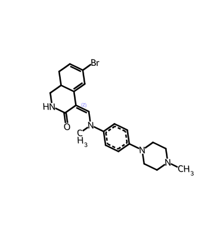 CN1CCN(c2ccc(N(C)/C=C3\C(=O)NCC4CC=C(Br)C=C34)cc2)CC1